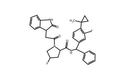 CC1(c2ccc(C(NC(=O)C3CC(F)CN3C(=O)CC3C(=O)Nc4ccccc43)c3ccccc3)cc2F)CC1